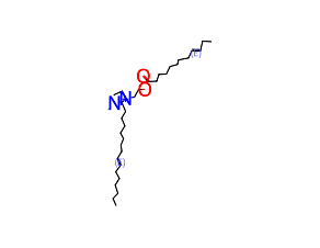 CC/C=C/CCCCCCCC(=O)OCCN1CC[N+](C)=C1CCCCCCC/C=C/CCCCCC